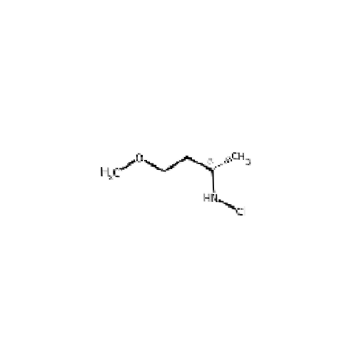 COCC[C@H](C)NCl